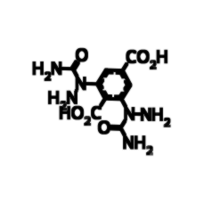 NC(=O)N(N)c1cc(C(=O)O)cc(N(N)C(N)=O)c1C(=O)O